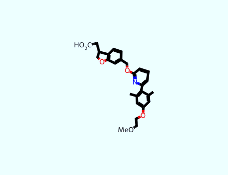 COCCOc1cc(C)c(-c2cccc(OCc3ccc4c(c3)OCC4CC(=O)O)n2)c(C)c1